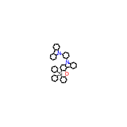 c1ccc([Si]2(c3ccccc3)c3ccccc3Oc3c2ccc2c3c3ccccc3n2-c2cccc(-n3c4ccccc4c4ccccc43)c2)cc1